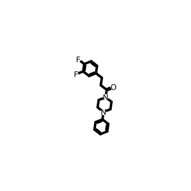 O=C(CCc1ccc(F)c(F)c1)N1CCN(c2ccccc2)CC1